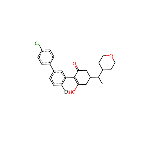 CCc1ccc(-c2ccc(Cl)cc2)cc1C1=C(O)CC(C(C)C2CCOCC2)CC1=O